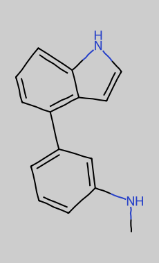 CNc1cccc(-c2cccc3[nH]ccc23)c1